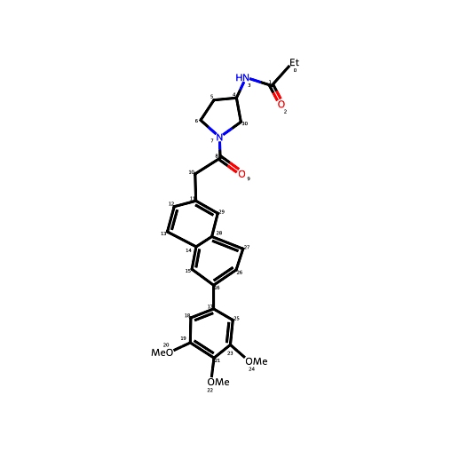 CCC(=O)NC1CCN(C(=O)Cc2ccc3cc(-c4cc(OC)c(OC)c(OC)c4)ccc3c2)C1